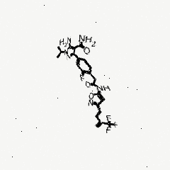 C=C(CCc1cc(NC(=O)Cc2ccc(-c3nn(C(C)C)c(N)c3C(N)=O)cc2F)on1)C(F)(F)F